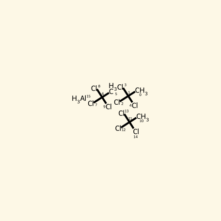 CC(Cl)(Cl)Cl.CC(Cl)(Cl)Cl.CC(Cl)(Cl)Cl.[AlH3]